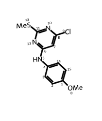 COc1ccc(Nc2cc(Cl)nc(SC)n2)cc1